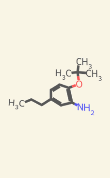 CCCc1ccc(OC(C)(C)C)c(N)c1